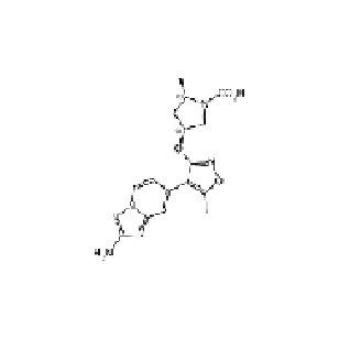 Cc1onc(O[C@H]2C[C@@H](C)N(C(=O)O)C2)c1-c1ccn2nc(N)cc2c1